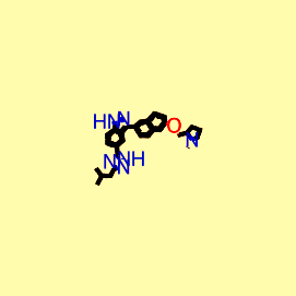 CC(C)Cc1n[nH]c(-c2ccc3[nH]nc(-c4ccc5cc(OCC6CCCN6C)ccc5c4)c3c2)n1